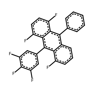 Fc1cc(-c2c3c(F)cccc3c(-c3ccccc3)c3c(F)ccc(F)c23)cc(F)c1F